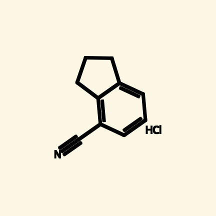 Cl.N#Cc1cccc2c1CCC2